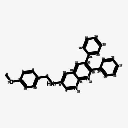 COc1ccc(CNc2cnc3nc(-c4ccccc4)c(-c4ccccc4)cc3c2)cc1